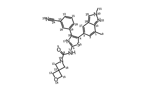 Cc1cc(-c2sc(NC(=O)N3CC4(COC4)C3)nc2-c2cccc(C#N)c2)cc2cn(C)nc12